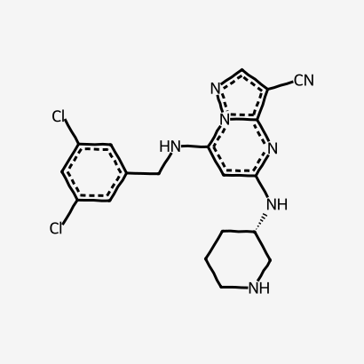 N#Cc1cnn2c(NCc3cc(Cl)cc(Cl)c3)cc(N[C@H]3CCCNC3)nc12